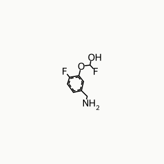 NCc1ccc(F)c(OC(O)F)c1